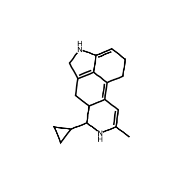 CC1=CC2=C3CCC=C4NCC(=C43)CC2C(C2CC2)N1